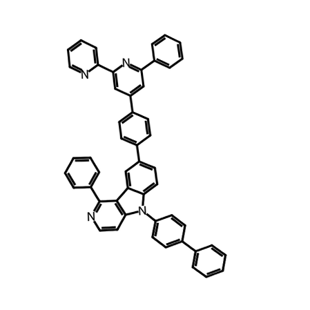 c1ccc(-c2ccc(-n3c4ccc(-c5ccc(-c6cc(-c7ccccc7)nc(-c7ccccn7)c6)cc5)cc4c4c(-c5ccccc5)nccc43)cc2)cc1